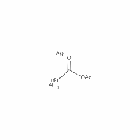 CCCC(=O)OC(C)=O.[Ag].[AlH3]